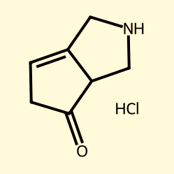 Cl.O=C1CC=C2CNCC12